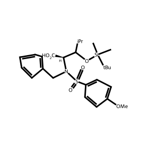 COc1ccc(S(=O)(=O)N(Cc2ccccc2)[C@@H](C(=O)O)C(O[Si](C)(C)C(C)(C)C)C(C)C)cc1